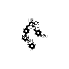 CCN(C(=N)CCCc1ccc(-c2nccc(NSc3ccccc3)n2)cc1)C(=O)NCc1ccc(C(C)(C)C)cc1